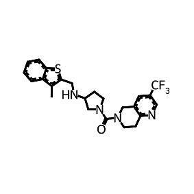 Cc1c(CNC2CCN(C(=O)N3CCc4ncc(C(F)(F)F)cc4C3)C2)sc2ccccc12